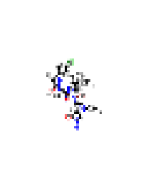 C/N=C/[C@H](C[C@@H]1CCNC1=O)NC(=O)[C@@H]1[C@@H]2[C@H](CN1C(=O)[C@@H](NC(=O)[C@@H]1C[C@H]1c1ccc(Cl)cc1)C(C)(C)C)C2(C)C